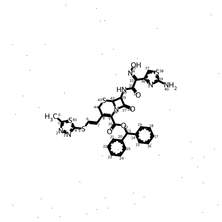 Cc1nnc(SC=CC2=C(C(=O)OC(c3ccccc3)c3ccccc3)N3C(=O)C(NC(=O)C(=NO)c4csc(N)n4)C3SC2)s1